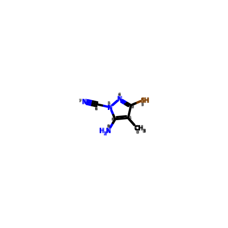 Cc1c(S)nn(C#N)c1N